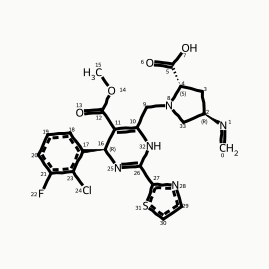 C=N[C@@H]1C[C@@H](C(=O)O)N(CC2=C(C(=O)OC)[C@H](c3cccc(F)c3Cl)N=C(c3nccs3)N2)C1